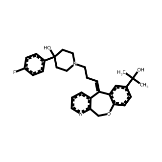 CC(C)(O)c1ccc2c(c1)/C(=C/CCN1CCC(O)(c3ccc(F)cc3)CC1)c1cccnc1CO2